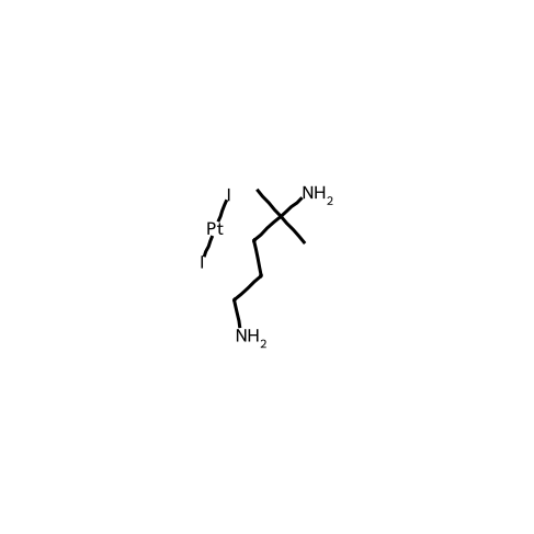 CC(C)(N)CCCN.[I][Pt][I]